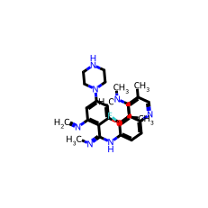 C=Nc1cc(N2CCNCC2)cc(O[C@H](C)CN(C)C)c1/C(=N\C)Nc1ccc2ncc(C)cc2c1F